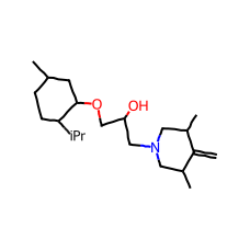 C=C1C(C)CN(CC(O)COC2CC(C)CCC2C(C)C)CC1C